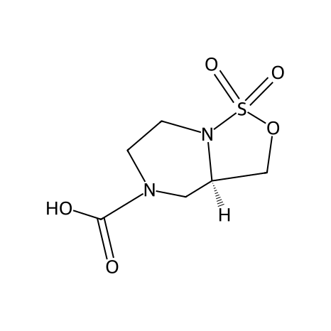 O=C(O)N1CCN2[C@@H](COS2(=O)=O)C1